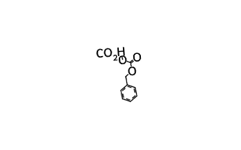 O=C(O)OC(=O)OCc1ccccc1